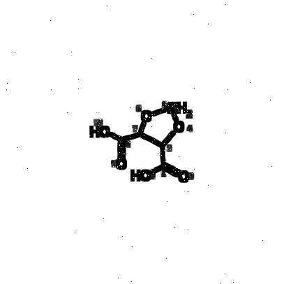 O=C(O)C1O[SiH2]OC1C(=O)O